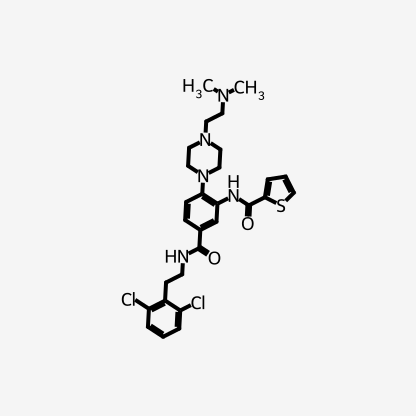 CN(C)CCN1CCN(c2ccc(C(=O)NCCc3c(Cl)cccc3Cl)cc2NC(=O)c2cccs2)CC1